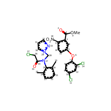 COC(=O)c1cc(Oc2ccc(Cl)cc2Cl)ccc1[N+](=O)[O-].Cc1cccc(C)c1N(Cn1cccn1)C(=O)CCl